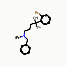 CC(C)N(CCCC(C#N)(c1ccccc1Br)C(C)C)Cc1ccccc1